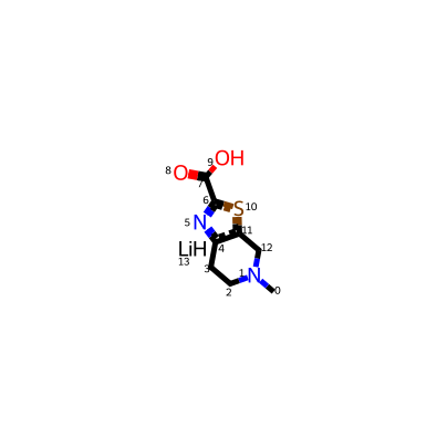 CN1CCc2nc(C(=O)O)sc2C1.[LiH]